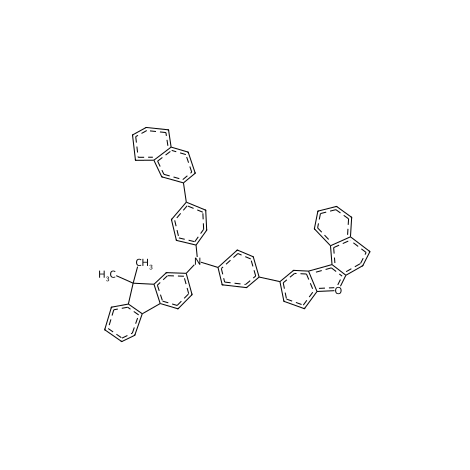 CC1(C)c2ccccc2-c2ccc(N(c3ccc(-c4ccc5ccccc5c4)cc3)c3ccc(-c4ccc5oc6ccc7ccccc7c6c5c4)cc3)cc21